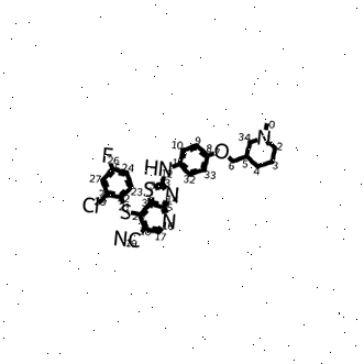 CN1CCCC(COc2ccc(Nc3nc4ncc(C#N)c(Sc5ccc(F)cc5Cl)c4s3)cc2)C1